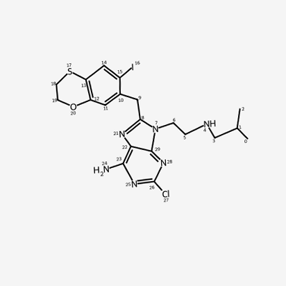 CC(C)CNCCn1c(Cc2cc3c(cc2I)SCCO3)nc2c(N)nc(Cl)nc21